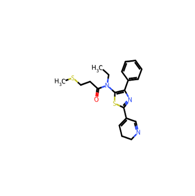 CCN(C(=O)CCSC)c1sc(C2=CCCN=C2)nc1-c1ccccc1